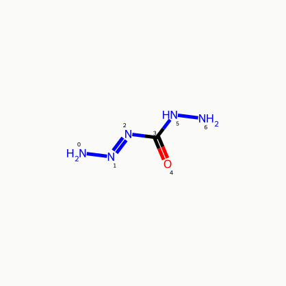 NN=NC(=O)NN